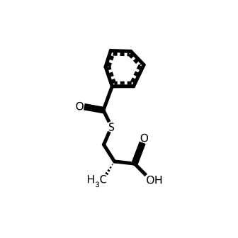 C[C@H](CSC(=O)c1ccccc1)C(=O)O